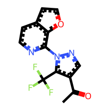 CC(=O)c1cnn(-c2nccc3ccoc23)c1C(F)(F)F